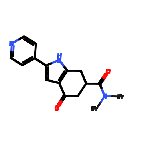 CC(C)N(C(=O)C1CC(=O)c2cc(-c3ccncc3)[nH]c2C1)C(C)C